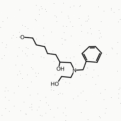 [O]CCCCCC(O)CN(CCO)Cc1ccccc1